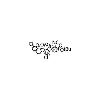 COC(=O)C1(Cc2nc(Cl)nc(N3CCN(C(=O)OC(C)(C)C)[C@@H](CC#N)C3)c2[N+](=O)[O-])CCCc2ccc(Cl)cc21